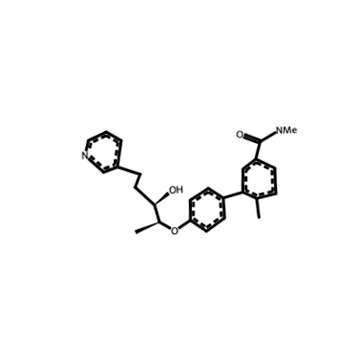 CNC(=O)c1ccc(C)c(-c2ccc(O[C@@H](C)[C@H](O)CCc3cccnc3)cc2)c1